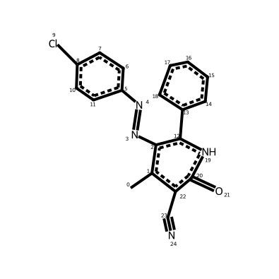 Cc1c(N=Nc2ccc(Cl)cc2)c(-c2ccccc2)[nH]c(=O)c1C#N